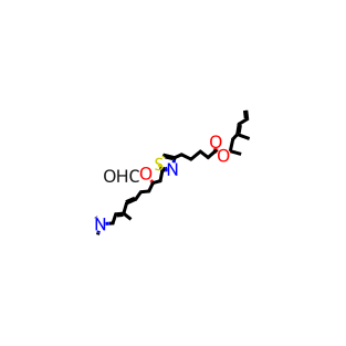 C=C/C=C(\C)CC(C)OC(=O)CCCCc1csc(CC(CC/C=C/C(C)=C/CN(C)C)OC=O)n1